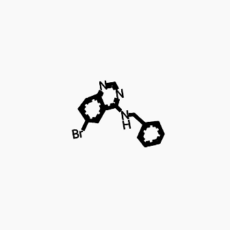 Brc1ccc2ncnc(NCc3ccccc3)c2c1